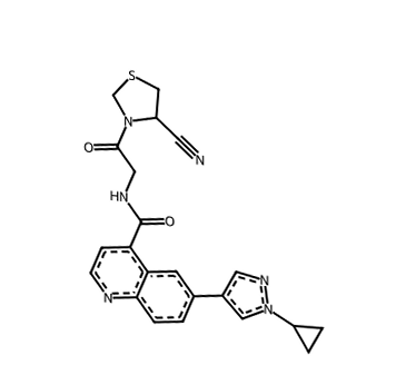 N#CC1CSCN1C(=O)CNC(=O)c1ccnc2ccc(-c3cnn(C4CC4)c3)cc12